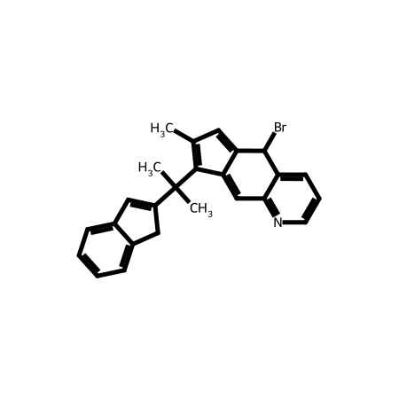 CC1=C(C(C)(C)C2=Cc3ccccc3C2)C2=Cc3ncccc3C(Br)C2=C1